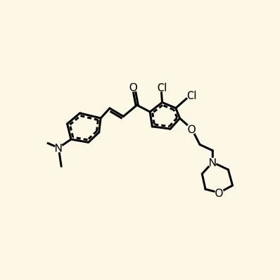 CN(C)c1ccc(/C=C/C(=O)c2ccc(OCCN3CCOCC3)c(Cl)c2Cl)cc1